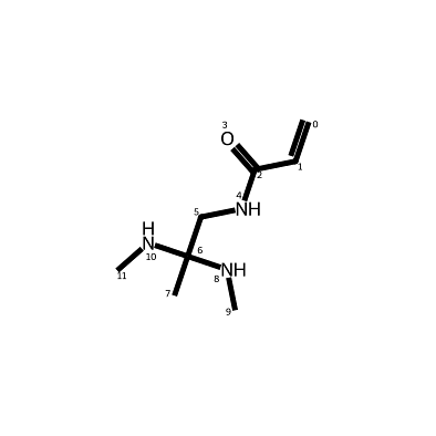 C=CC(=O)NCC(C)(NC)NC